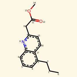 CCCc1cccc2nc(CC(=O)OC)ccc12